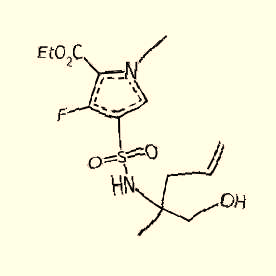 C=CCC(C)(CO)NS(=O)(=O)c1cn(C)c(C(=O)OCC)c1F